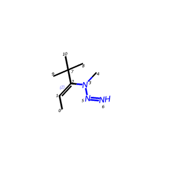 C/C=C(\N(C)N=N)C(C)(C)C